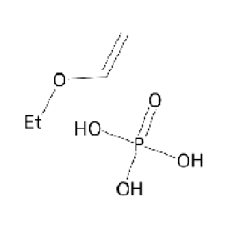 C=COCC.O=P(O)(O)O